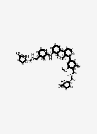 COc1cc(-c2nccc(-c3cccc(Nc4nccc(CNC[C@@H]5CCC(=O)N5)c4F)c3Cl)c2Cl)cc(F)c1CNC[C@H]1CCC(=O)N1